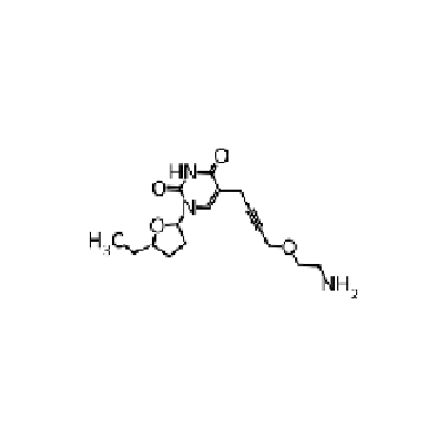 CC[C@@H]1CC[C@H](n2cc(CC#CCOCCN)c(=O)[nH]c2=O)O1